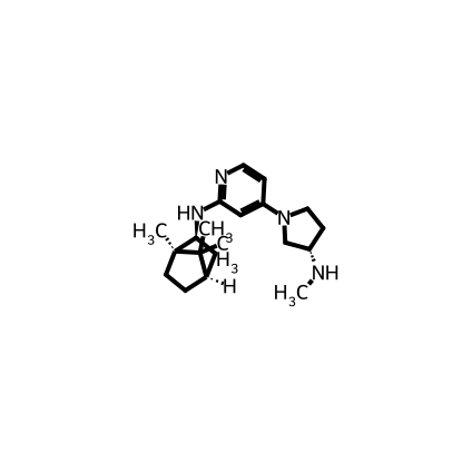 CN[C@H]1CCN(c2ccnc(N[C@H]3C[C@H]4CC[C@]3(C)C4(C)C)c2)C1